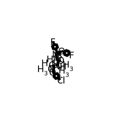 CC(C)(NC(=O)C(C)(C)Oc1ccc(Cl)cc1)C(=O)Nc1nc(-c2ccc(F)cc2)c(Oc2ccc(F)cc2)s1